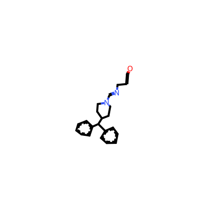 O=C=CCN=CN1CCC(C(c2ccccc2)c2ccccc2)CC1